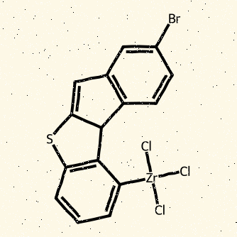 [Cl][Zr]([Cl])([Cl])[c]1cccc2c1C1C(=Cc3cc(Br)ccc31)S2